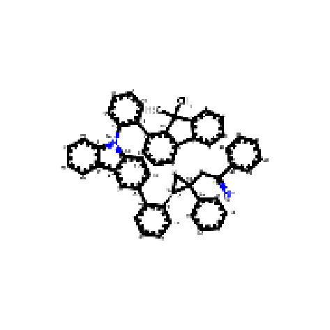 CC1(C)c2ccccc2-c2cccc(-c3ccccc3-n3c4ccccc4c4cc(-c5ccccc5[C@H]5CC5(CC(=N)c5ccccc5)c5ccccc5)ccc43)c21